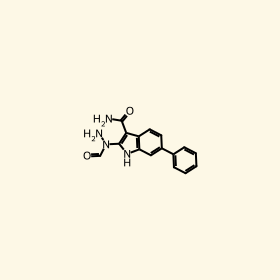 NC(=O)c1c(N(N)C=O)[nH]c2cc(-c3ccccc3)ccc12